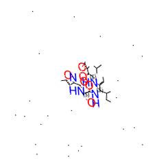 CC=C(N[C@@H](CC(C)C)C(=O)C1(C)CO1)[C@@H](NC(=O)[C@H](COC)NC(=O)c1cc(C)on1)C(C)CC